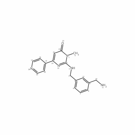 Cn1c(NCc2cccc(CN)c2)nc(-c2ccncc2)cc1=O